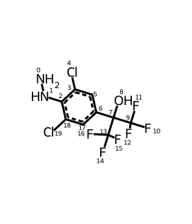 NNc1c(Cl)cc(C(O)(C(F)(F)F)C(F)(F)F)cc1Cl